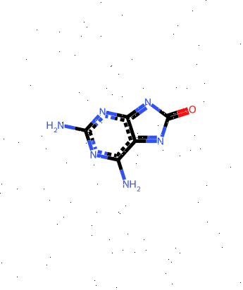 Nc1nc(N)c2c(n1)=NC(=O)N=2